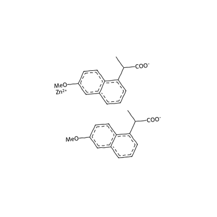 COc1ccc2c(C(C)C(=O)[O-])cccc2c1.COc1ccc2c(C(C)C(=O)[O-])cccc2c1.[Zn+2]